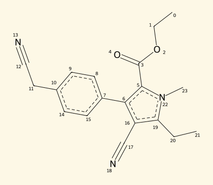 CCOC(=O)c1c(-c2ccc(CC#N)cc2)c(C#N)c(CC)n1C